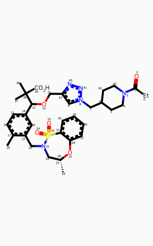 CCC(=O)N1CCC(Cn2cc(COC(c3ccc(C)c(CN4C[C@@H](C)Oc5ccccc5S4(=O)=O)c3)C(C)(C)C(=O)O)nn2)CC1